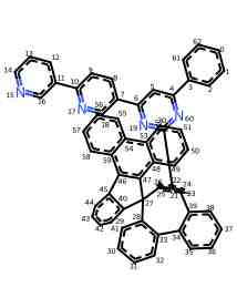 c1ccc(-c2cc(-c3ccc(-c4cccnc4)nc3)nc(-c3ccc4c(c3)C3(c5ccccc5-c5ccccc5-4)c4ccccc4-c4c3c3ccccc3c3ccccc43)n2)cc1